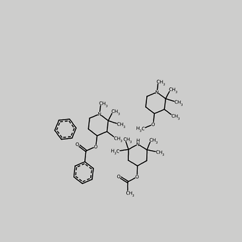 CC(=O)OC1CC(C)(C)NC(C)(C)C1.CC1C(OC(=O)c2ccccc2)CCN(C)C1(C)C.COC1CCN(C)C(C)(C)C1C.c1ccccc1